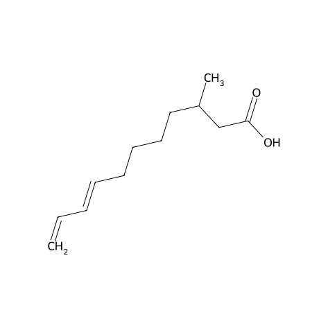 C=CC=CCCCCC(C)CC(=O)O